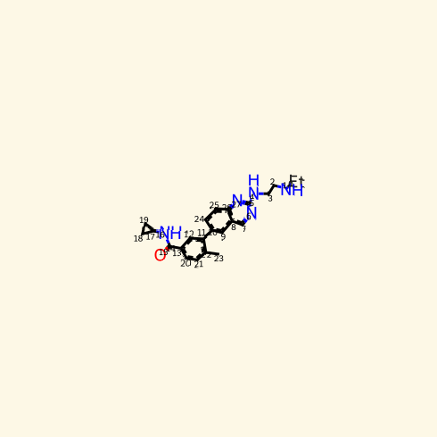 CCNCCNc1ncc2cc(-c3cc(C(=O)NC4CC4)ccc3C)ccc2n1